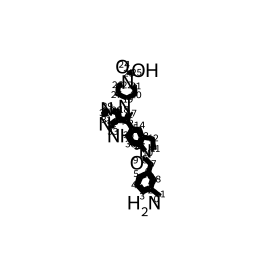 NCc1cccc(CC(=O)N2CCc3cc(-c4cn(C5CCN(C(=O)O)CC5)c5ncnc(N)c45)ccc32)c1